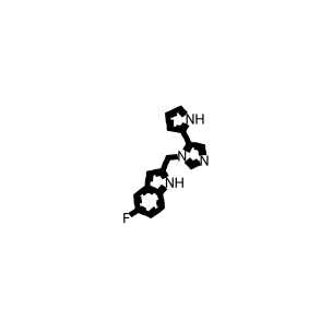 Fc1ccc2[nH]c(Cn3cncc3-c3ccc[nH]3)cc2c1